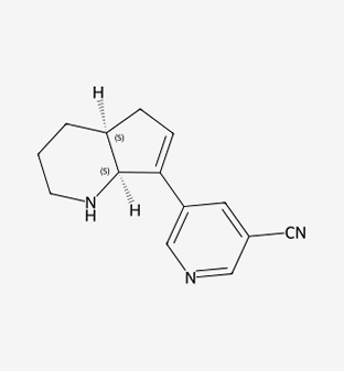 N#Cc1cncc(C2=CC[C@@H]3CCCN[C@H]23)c1